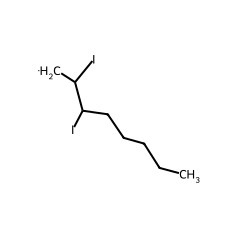 [CH2]C(I)C(I)CCCCC